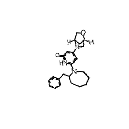 O=c1cc(N2C[C@@H]3C[C@H]2CO3)cc(N2CCCCCC2Cc2ccccc2)[nH]1